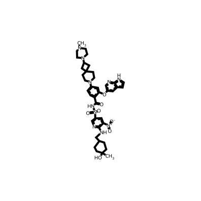 CN1CCN(C2CC3(CCN(c4ccc(C(=O)NS(=O)(=O)c5cnc(NCC6CCC(C)(O)CC6)c([N+](=O)[O-])c5)c(Oc5cnc6[nH]ccc6c5)c4)CC3)C2)CC1